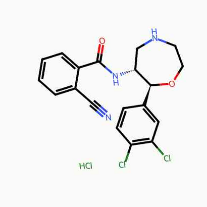 Cl.N#Cc1ccccc1C(=O)N[C@@H]1CNCCO[C@H]1c1ccc(Cl)c(Cl)c1